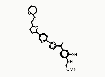 COCNc1ccc(C(C)c2ccn(-c3ccc(C4CCC(COC5CCCCO5)O4)cn3)n2)cc1S